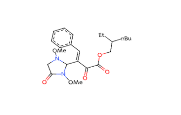 CCCCC(CC)COC(=O)C(=O)C(=Cc1ccccc1)C1N(OC)CC(=O)N1OC